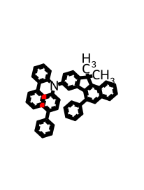 CC1(C)c2ccc(N(c3ccc(-c4ccccc4)cc3)c3ccccc3-c3ccccc3)cc2-c2c(-c3ccccc3)cc3ccccc3c21